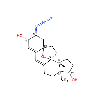 C[C@]12CCC3=CC4=C[C@H](O)[C@@H](N=[N+]=[N-])C[C@]45CC[C@]3(O5)[C@@H]1CC[C@@H]2O